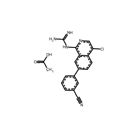 CC(=O)O.N#Cc1cccc(-c2ccc3c(Cl)cnc(NC(=N)N)c3c2)c1